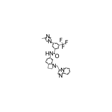 Cc1cn(-c2cc(C(=O)Nc3ccc4c(c3)N(Cc3cnc5ccccn35)CC4)cc(C(F)(F)F)c2)cn1